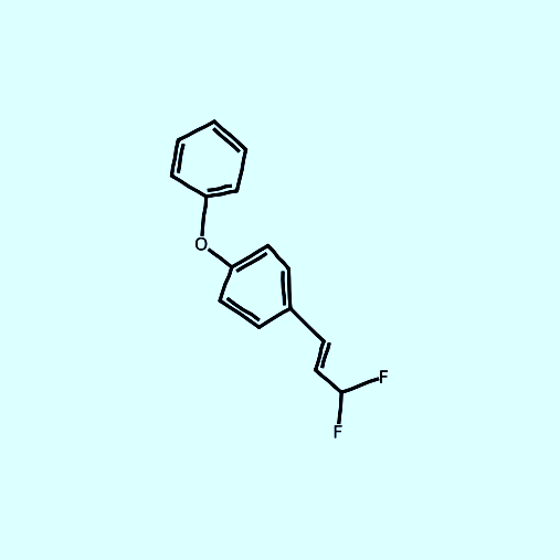 FC(F)C=Cc1ccc(Oc2ccccc2)cc1